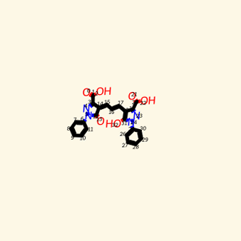 O=C(O)C1=NN(c2ccccc2)C(=O)C1=CC=Cc1c(C(=O)O)nn(-c2ccccc2)c1O